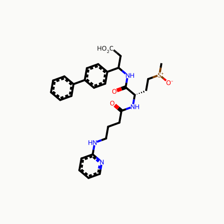 C[S+]([O-])CC[C@H](NC(=O)CCCNc1ccccn1)C(=O)NC(CC(=O)O)c1ccc(-c2ccccc2)cc1